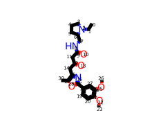 CCN1CCCC1CNC(=O)CC(=O)Cc1nc(-c2ccc(OC)c(OC)c2)oc1C